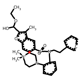 CCOC(O)c1oc2ccc(S(=O)(=O)N(CCc3ccccc3)c3ccccc3N3CC[N+](C)(C)CC3)cc2c1C